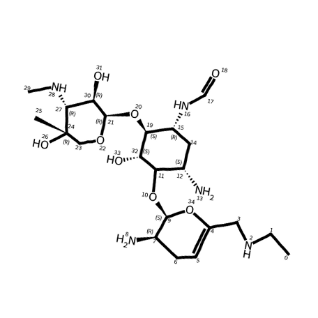 CCNCC1=CC[C@@H](N)[C@@H](OC2[C@@H](N)C[C@@H](NC=O)[C@H](O[C@H]3OC[C@](C)(O)[C@H](NC)[C@H]3O)[C@H]2O)O1